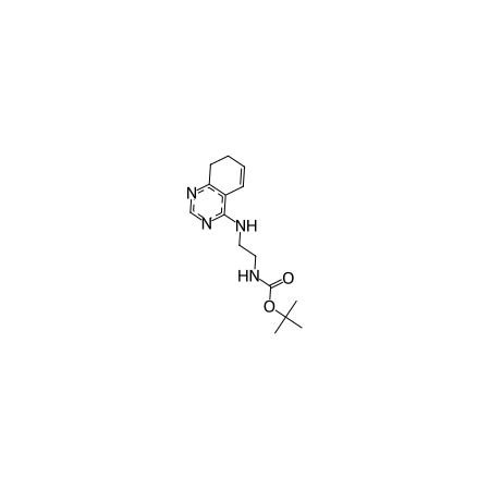 CC(C)(C)OC(=O)NCCNc1ncnc2c1C=CCC2